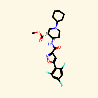 COC(=O)[C@@H]1CN(C2CCCCC2)CC[C@H]1NC(=O)c1cc(-c2c(F)cc(F)cc2F)on1